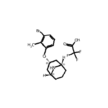 Cc1c(Br)cccc1O[C@H]1C[C@H]2CCC[C@@H](C1)N2.O=C(O)C(F)(F)F